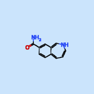 NC(=O)c1ccc2c(c1)=CNC=CC=2